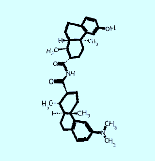 C[C@@H]1[C@@H](C(=O)NC(=O)[C@H]2CC[C@]3(C)c4cc(N(C)C)ccc4CC[C@H]3[C@@H]2C)CC[C@]2(C)c3cc(O)ccc3CC[C@@H]12